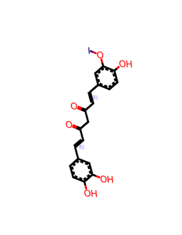 O=C(/C=C/c1ccc(O)c(O)c1)CC(=O)/C=C/c1ccc(O)c(OI)c1